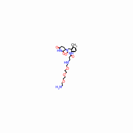 Cc1cccc(NC(=O)CCNCCOCCOCCOCCN)c1CN(C=O)C1CCC(=O)NC1=O